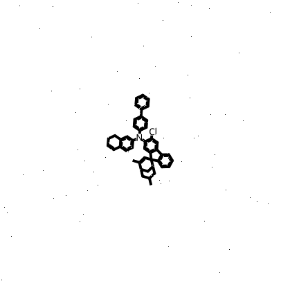 CC1=CC2(c3ccccc3-c3cc(Cl)c(N(c4ccc(-c5ccccc5)cc4)c4ccc5c(c4)CCC=C5)cc32)C2CC(C)CC1C2